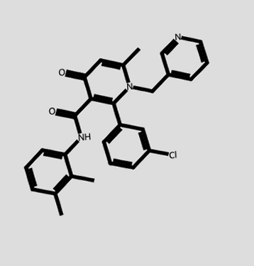 Cc1cccc(NC(=O)c2c(-c3cccc(Cl)c3)n(Cc3cccnc3)c(C)cc2=O)c1C